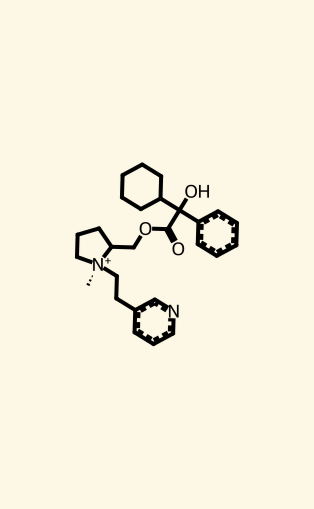 C[N@+]1(CCc2cccnc2)CCCC1COC(=O)C(O)(c1ccccc1)C1CCCCC1